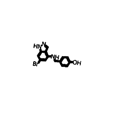 Oc1ccc(CNc2cc(Br)cc3[nH]ncc23)cc1